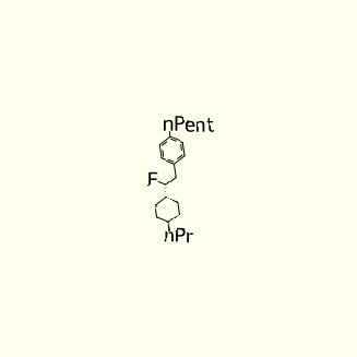 CCCCCc1ccc(CC(F)[C@H]2CC[C@H](CCC)CC2)cc1